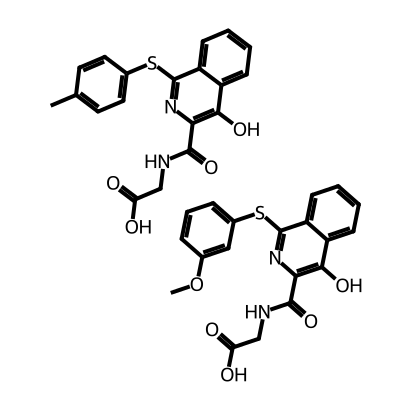 COc1cccc(Sc2nc(C(=O)NCC(=O)O)c(O)c3ccccc23)c1.Cc1ccc(Sc2nc(C(=O)NCC(=O)O)c(O)c3ccccc23)cc1